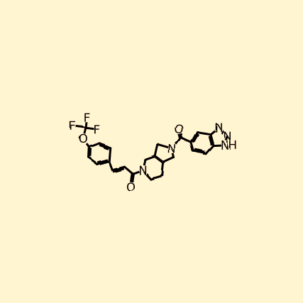 O=C(C=Cc1ccc(OC(F)(F)F)cc1)N1CCC2CN(C(=O)c3ccc4[nH]nnc4c3)CC2C1